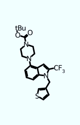 CC(C)(C)OC(=O)N1CCN(c2cccc3c2cc(C(F)(F)F)n3Cc2ccsc2)CC1